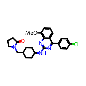 COc1cccc2c(-c3ccc(Cl)cc3)nc(NC3CCC(CN4CCCC4=O)CC3)nc12